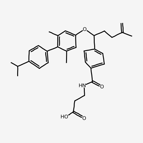 C=C(C)CCC(Oc1cc(C)c(-c2ccc(C(C)C)cc2)c(C)c1)c1ccc(C(=O)NCCC(=O)O)cc1